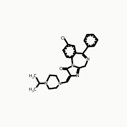 CC(C)N1CCN(C=C2N=C3CN=C(c4ccccc4)c4cc(Cl)ccc4N3C2=O)CC1